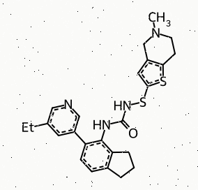 CCc1cncc(-c2ccc3c(c2NC(=O)NSc2cc4c(s2)CCN(C)C4)CCC3)c1